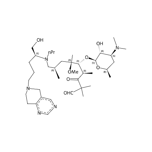 CCCN(C[C@H](C)C[C@@](C)(OC)[C@H](O[C@@H]1O[C@H](C)C[C@H](N(C)C)[C@H]1O)[C@@H](C)C(=O)C(C)(C)C=O)[C@H](CO)CCCN1CCc2ncncc2C1